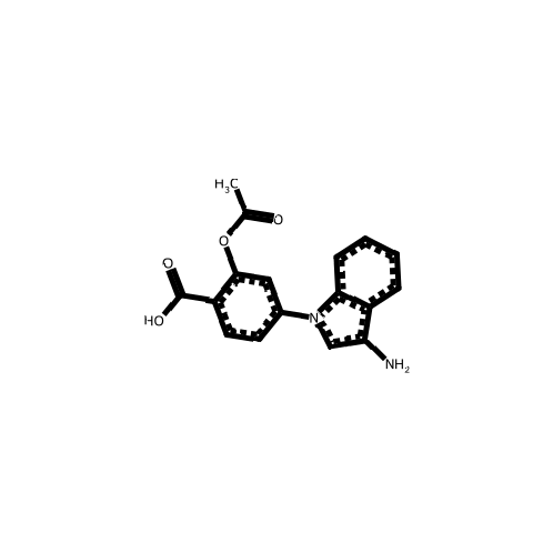 CC(=O)Oc1cc(-n2cc(N)c3ccccc32)ccc1C(=O)O